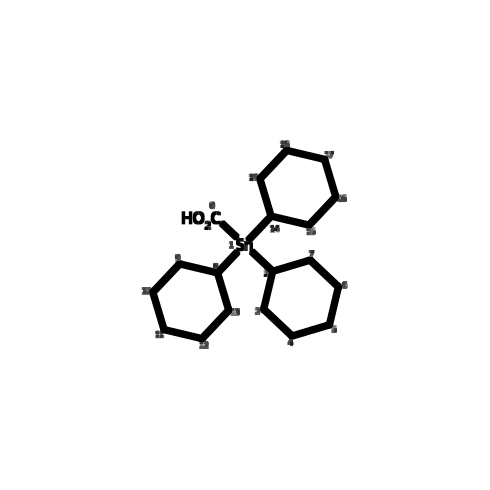 O=[C](O)[Sn]([CH]1CCCCC1)([CH]1CCCCC1)[CH]1CCCCC1